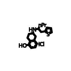 CCCC(Cc1cccs1)N[C@H]1CCc2c(O)cccc2C1.Cl